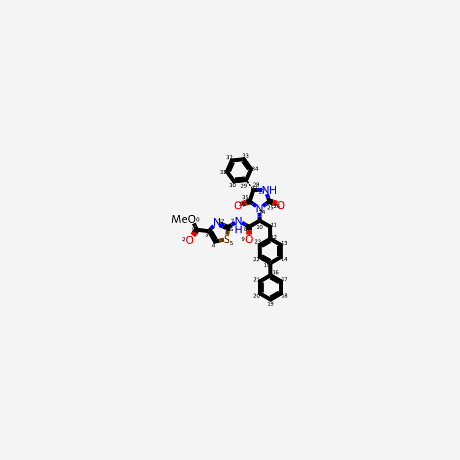 COC(=O)c1csc(NC(=O)C(Cc2ccc(-c3ccccc3)cc2)N2C(=O)N[C@@H](c3ccccc3)C2=O)n1